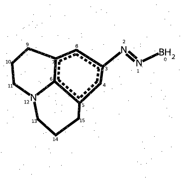 BN=Nc1cc2c3c(c1)CCCN3CCC2